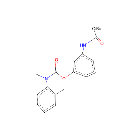 Cc1ccccc1N(C)C(=O)Oc1cccc(NC(=O)OCC(C)C)c1